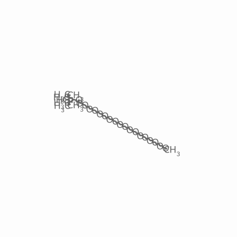 COCCOCCOCCOCCOCCOCCOCCOCCOCCOCCOCCOCCOCCOCCOCCOCCOCCOC(=O)CCc1cc(C(C)(C)C)c(O)c(C(C)(C)C)c1